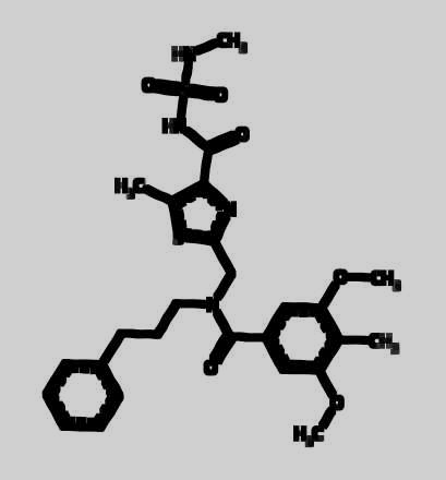 CNS(=O)(=O)NC(=O)c1nc(CN(CCCc2ccccc2)C(=O)c2cc(OC)c(C)c(OC)c2)sc1C